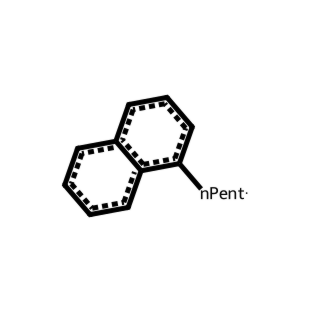 [CH2]CCC[CH]c1cccc2ccccc12